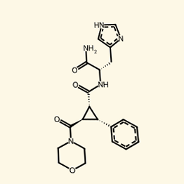 NC(=O)[C@H](Cc1c[nH]cn1)NC(=O)[C@H]1[C@H](C(=O)N2CCOCC2)[C@H]1c1ccccc1